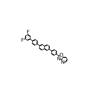 Fc1cc(F)cc(-c2ccc(-c3ccc4cc(-c5ccc(-c6nc7ncccc7o6)cc5)ccc4c3)cc2)c1